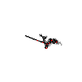 CCCCCCCCCCCCCCCCCCC[C@H](COP(=O)(OC[C@H]1O[C@@](C#N)(c2ccc3c(N)ncnn23)[C@@H]2OC(C)(C)O[C@@H]21)Oc1ccccc1Cl)OCc1cc(F)cc(C#N)c1